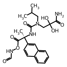 CC(C)CN(CC(O)(O)C(N)=O)C(=O)N[C@](C)(C(=O)ONC=O)c1ccc2ccccc2c1